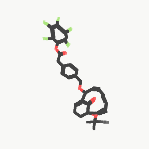 CC(C)(C)[Si](C)(C)OC12C#C/C=C\C#CC(OCc3ccc(CC(=O)Oc4c(F)c(F)c(F)c(F)c4F)cc3)C(=CCC1)C2=O